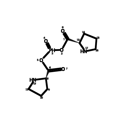 O=C(O[PH](=O)OC(=O)[C@@H]1CCCN1)[C@@H]1CCCN1